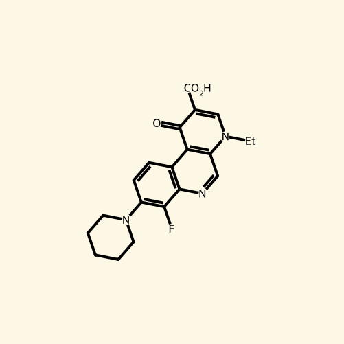 CCn1cc(C(=O)O)c(=O)c2c3ccc(N4CCCCC4)c(F)c3ncc21